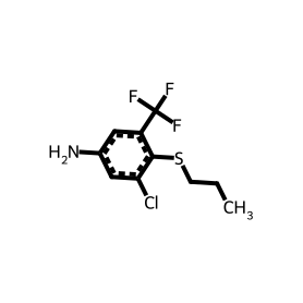 CCCSc1c(Cl)cc(N)cc1C(F)(F)F